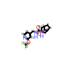 O=C1CC2CCC(C1)C2NC(=O)NCc1ccnc(OC(F)F)c1